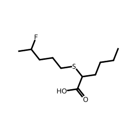 CCCCC(SCCCC(C)F)C(=O)O